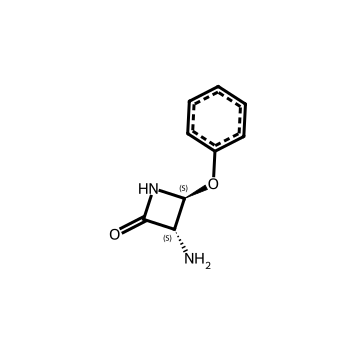 N[C@@H]1C(=O)N[C@H]1Oc1ccccc1